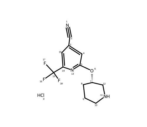 Cl.N#Cc1cc(O[C@H]2CCCNC2)nc(C(F)(F)F)c1